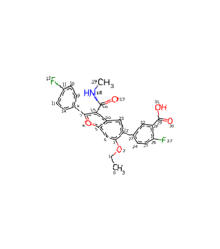 CCOc1cc2oc(-c3ccc(F)cc3)c(C(=O)NC)c2cc1-c1ccc(F)c(C(=O)O)c1